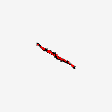 C=CC(=O)OCCCCOC(=O)Oc1ccc(C(=O)Oc2ccc(C(=O)Oc3ccc(C(=O)O[C@H]4COC5C4OC[C@@H]5OC(=O)c4ccc(OC(=O)c5ccc(OC(=O)c6ccc(OC(=O)OCCCCOC(=O)C=C)cc6)cc5)cc4)cc3)cc2)cc1